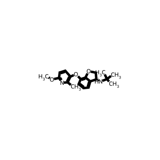 COc1ccc(Oc2cccc3c2OC[C@H]3NC(C)(C)C)c(C)n1